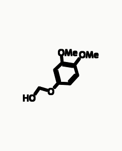 COc1ccc(OCO)cc1OC